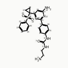 NCCNC(=O)Nc1ccc(-c2nc(N)cc(C3(S(=O)(=O)c4ccccc4)CC3)n2)cc1